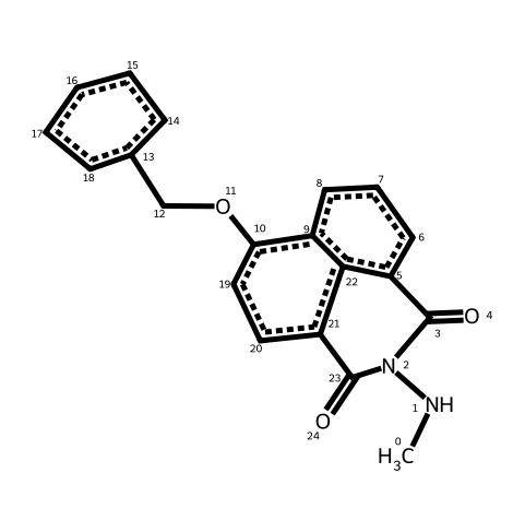 CNN1C(=O)c2cccc3c(OCc4ccccc4)ccc(c23)C1=O